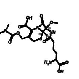 CO[C@@]1(NC(=O)CCCC(N)C(=O)O)C(=O)N2C(C(=O)O)=C(COC(=O)N(C)C)CS[C@H]21